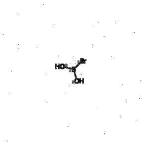 OB(O)Br